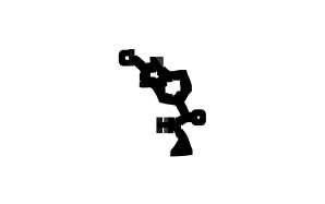 O=C(NC1CC1)c1ccc2nc(Cl)sc2c1